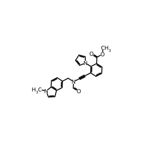 COC(=O)c1cccc(C#CN(C=O)Cc2ccc3c(ccn3C)c2)c1-n1cccc1